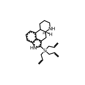 C=CC[Si](CC=C)(CC=C)c1[nH]c2cccc3c2c1C[C@H]1NCCCC31